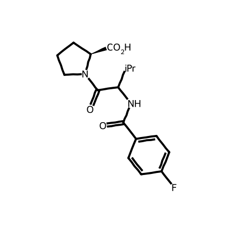 CC(C)C(NC(=O)c1ccc(F)cc1)C(=O)N1CCC[C@H]1C(=O)O